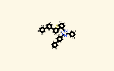 c1ccc(-c2ccc(-c3nc(-c4ccccc4)nc(-c4cccc5sc6c(-c7cccc(-c8ccccc8)c7)cccc6c45)n3)cc2)cc1